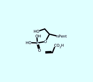 C=CC(=O)O.CCCCCC(CO)OP(=O)(O)O